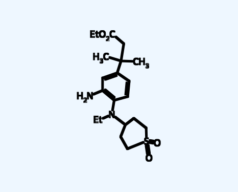 CCOC(=O)CC(C)(C)c1ccc(N(CC)C2CCS(=O)(=O)CC2)c(N)c1